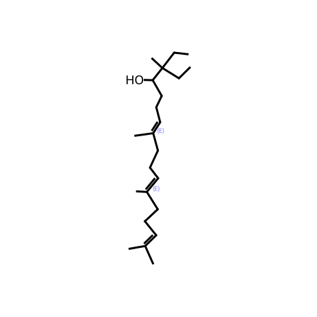 CCC(C)(CC)C(O)CC/C=C(\C)CC/C=C(\C)CCC=C(C)C